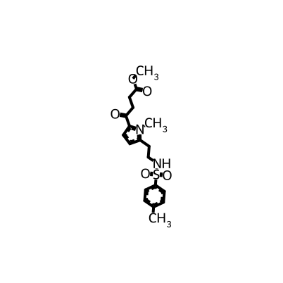 COC(=O)CCC(=O)c1ccc(CCNS(=O)(=O)c2ccc(C)cc2)n1C